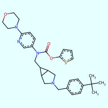 CC(C)(C)c1ccc(CN2CC3C(C2)C3CN(C(=O)Oc2cccs2)c2ccc(N3CCOCC3)nc2)cc1